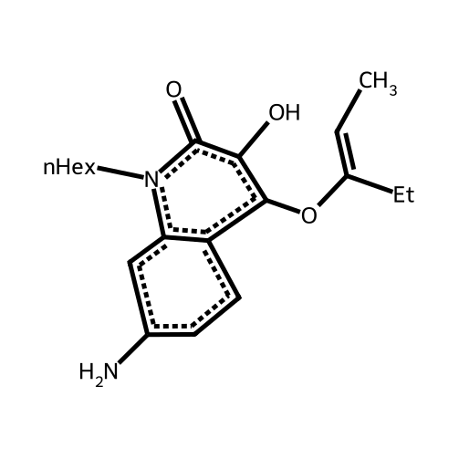 CC=C(CC)Oc1c(O)c(=O)n(CCCCCC)c2cc(N)ccc12